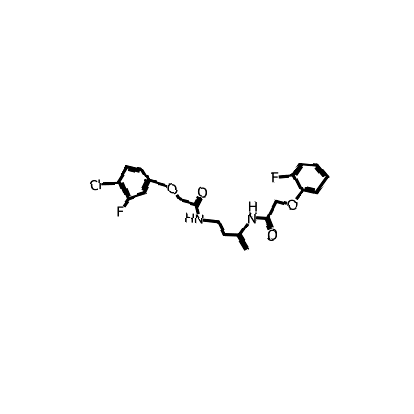 C=C(CCNC(=O)COc1ccc(Cl)c(F)c1)NC(=O)COc1ccccc1F